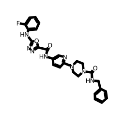 O=C(Nc1ccc(N2CCN(C(=O)NCc3ccccc3)CC2)nc1)c1nnc(Nc2ccccc2F)o1